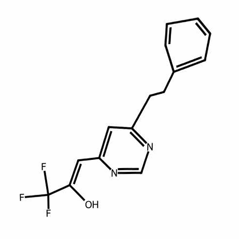 O/C(=C\c1cc(CCc2ccccc2)ncn1)C(F)(F)F